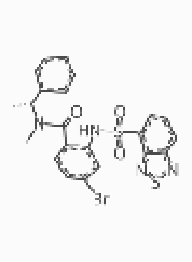 C[C@H](c1ccccc1)N(C)C(=O)c1ccc(Br)cc1NS(=O)(=O)c1cccc2nsnc12